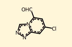 O=Cc1cc(Cl)cc2nncn12